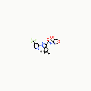 O=C(NC1(CO)CCOCC1)c1nn(-c2cc(C(F)(F)F)ccn2)c2c1C[C@H]1C[C@@H]21